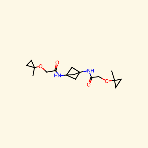 CC1(OCC(=O)NC23CC(NC(=O)COC4(C)CC4)(C2)C3)CC1